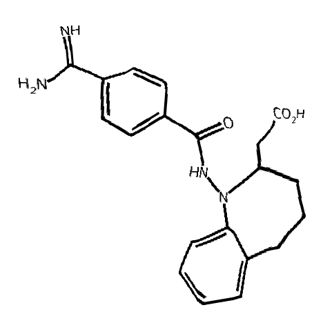 N=C(N)c1ccc(C(=O)NN2c3ccccc3CCCC2CC(=O)O)cc1